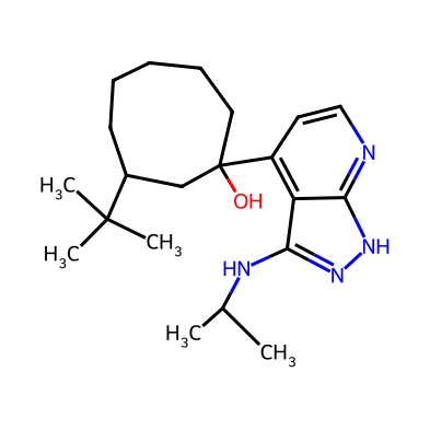 CC(C)Nc1n[nH]c2nccc(C3(O)CCCCCC(C(C)(C)C)C3)c12